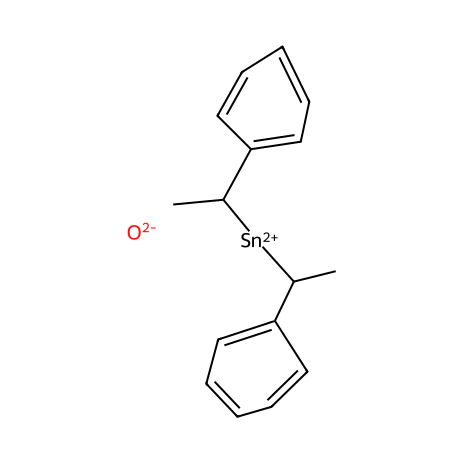 C[CH]([Sn+2][CH](C)c1ccccc1)c1ccccc1.[O-2]